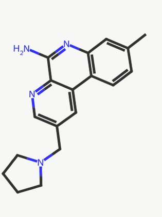 Cc1ccc2c(c1)nc(N)c1ncc(CN3CCCC3)cc12